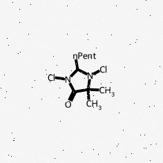 CCCCCC1N(Cl)C(=O)C(C)(C)N1Cl